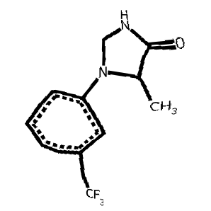 CC1C(=O)NCN1c1cccc(C(F)(F)F)c1